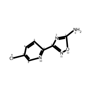 Nc1nc(-c2ccc(Cl)cn2)no1